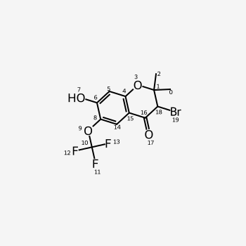 CC1(C)Oc2cc(O)c(OC(F)(F)F)cc2C(=O)C1Br